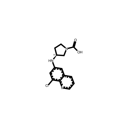 O=C(O)N1CC[C@H](Nc2cc(Cl)c3ncccc3c2)C1